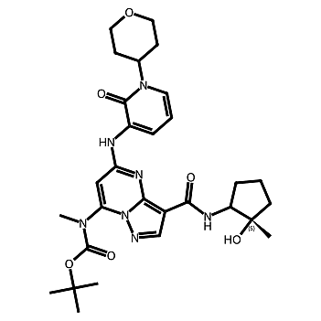 CN(C(=O)OC(C)(C)C)c1cc(Nc2cccn(C3CCOCC3)c2=O)nc2c(C(=O)NC3CCC[C@]3(C)O)cnn12